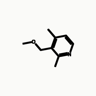 COCc1c(C)ccnc1C